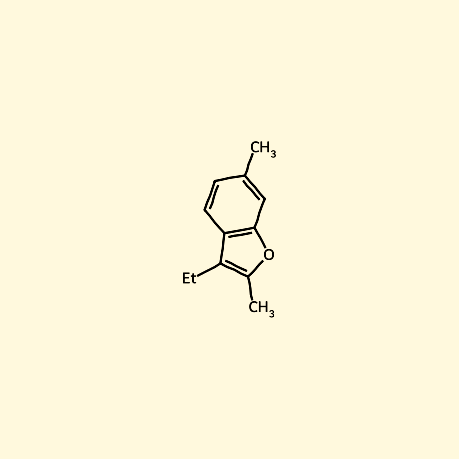 CCc1c(C)oc2cc(C)ccc12